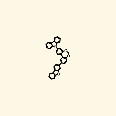 c1ccc2c(c1)oc1cc(-c3ccc4c(c3)-c3ccc(-n5c6ccccc6c6ccccc65)cc3OCO4)ccc12